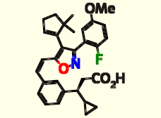 COc1ccc(F)c(-c2noc(/C=C\c3cccc([C@@H](CC(=O)O)C4CC4)c3)c2C2=CCCC2(C)C)c1